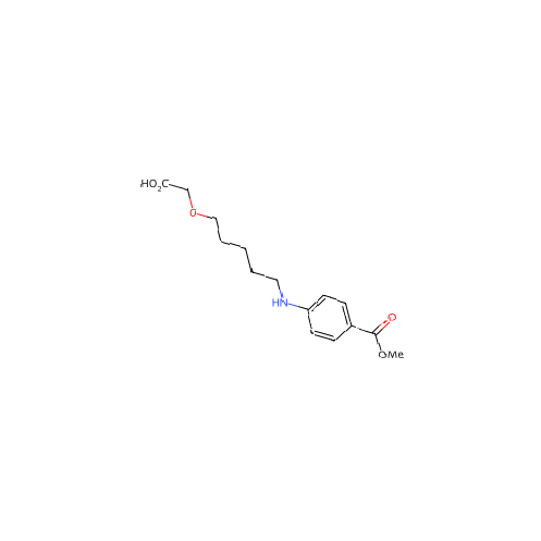 COC(=O)c1ccc(NCCCCCOCC(=O)O)cc1